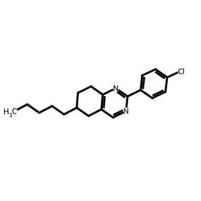 CCCCCC1CCc2nc(-c3ccc(Cl)cc3)ncc2C1